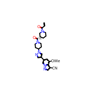 C=CC(=O)N1CCC[C@H](C(=O)N2CCC(n3cc(-c4cc(OC)c5c(C#N)cnn5c4)cn3)CC2)C1